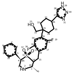 C[C@@H]1NC[C@@H](c2ccccc2)S(=O)(=O)C1Cc1cc(F)c(C2(CO)CCC(c3c[nH]nn3)CC2)cc1F